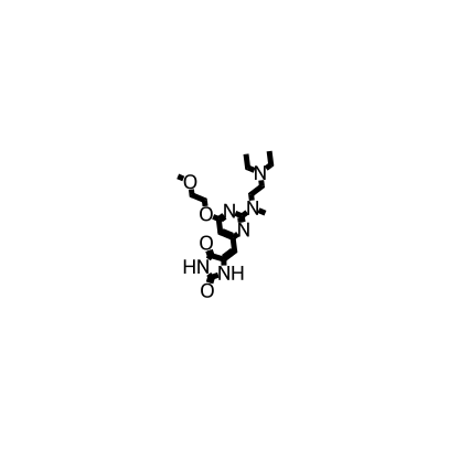 CCN(CC)CCN(C)c1nc(C=C2NC(=O)NC2=O)cc(OCCOC)n1